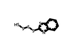 SSSSc1nc2ccccc2s1